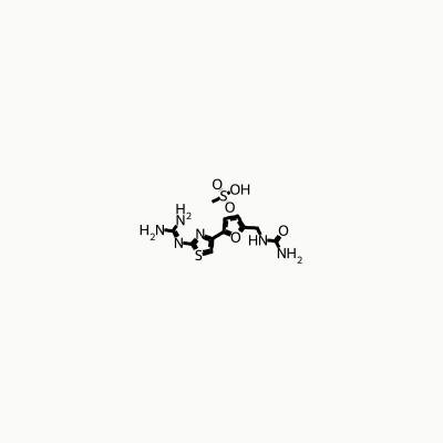 CS(=O)(=O)O.NC(=O)NCc1ccc(-c2csc(N=C(N)N)n2)o1